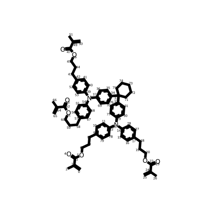 C=C(C)C(=O)OCCCc1ccc(N(c2ccc(CCCOC(=O)C(=C)C)cc2)c2ccc(C3(c4ccc(N(c5ccc(CCCOC(=O)C(=C)C)cc5)c5ccc(CCCOC(=O)C(=C)C)cc5)cc4)CCCCC3)cc2)cc1